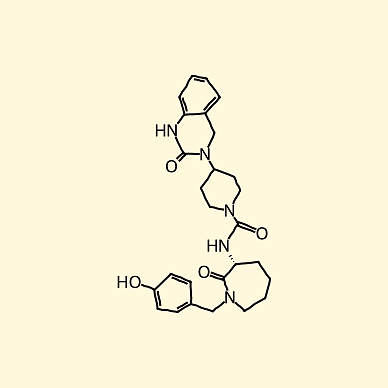 O=C(N[C@@H]1CCCCN(Cc2ccc(O)cc2)C1=O)N1CCC(N2Cc3ccccc3NC2=O)CC1